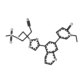 CCn1cc(-c2cc(-c3cnn(C4(CC#N)CN(S(C)(=O)=O)C4)n3)c3cccnc3c2)ccc1=O